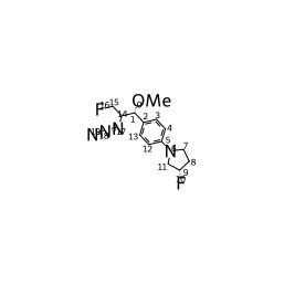 CO[C@H](c1ccc(N2CC[C@H](F)C2)cc1)C(CF)N=[N+]=[N-]